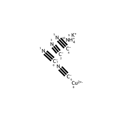 [C-]#N.[C-]#N.[C-]#N.[C-]#N.[Cu+2].[K+].[NH4+]